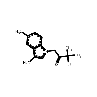 Cc1ccc2c(c1)c(C)cn2CC(=O)C(C)(C)C